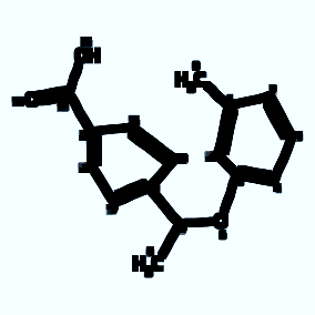 Cc1cccc(OC(C)c2ccc(C(=O)O)cc2)c1